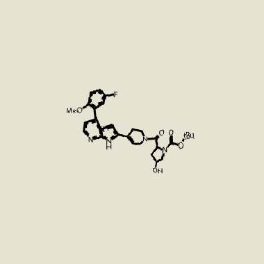 COc1ccc(F)cc1-c1ccnc2[nH]c(C3=CCN(C(=O)C4CC(O)CN4C(=O)OC(C)(C)C)CC3)cc12